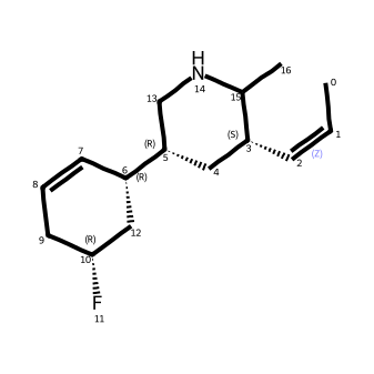 C/C=C\[C@@H]1C[C@H]([C@H]2C=CC[C@@H](F)C2)CNC1C